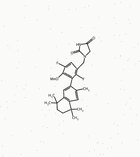 COc1c(F)cc(CN2CC(=O)NC2=O)c(F)c1-c1cc2c(cc1C)C(C)(C)CCC2(C)C